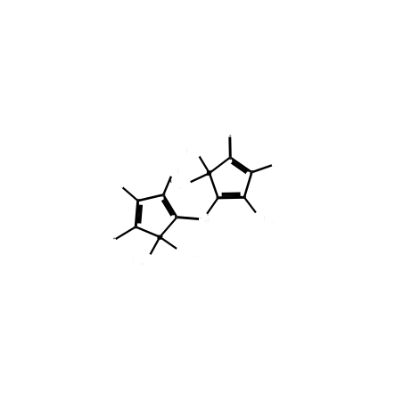 CC1=C(Cl)C(C)(C)C([SiH2]C2=C(C)C(C)=C(Cl)C2(C)C)=C1C.[Zr]